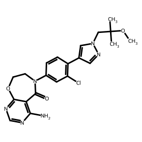 COC(C)(C)Cn1cc(-c2ccc(N3CCOc4ncnc(N)c4C3=O)cc2Cl)cn1